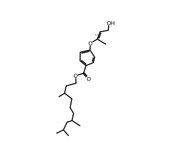 C/C(=C\CO)Oc1ccc(C(=O)OCCC(C)CCCC(C)CC(C)C)cc1